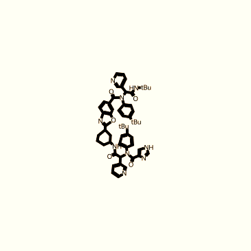 CC(C)(C)NC(=O)C(c1cccnc1)N(C(=O)c1ccc2nc(C3CCCC(NC(=O)C(c4cccnc4)N(C(=O)c4c[nH]cn4)c4ccc(C(C)(C)C)cc4)C3)oc2c1)c1ccc(C(C)(C)C)cc1